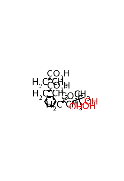 C=C(C)C(=O)O.C=C(C)C(=O)O.C=C(C)C(=O)O.CC(CO)(CO)CO.c1ccccc1